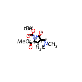 COC(=O)[C@H]1CC(=CN(C)C)C(=O)N1C(=O)OC(C)(C)C